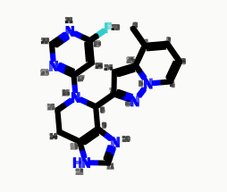 Cc1cccn2nc(C3c4nc[nH]c4CCN3c3cc(F)ncn3)cc12